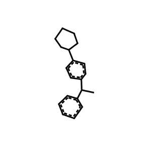 CC(c1ccccc1)c1ccc(C2CCCCC2)cc1